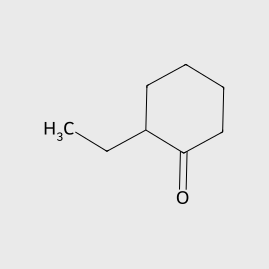 CCC1CCCCC1=O